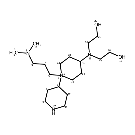 CN(C)CCC[N+]1(C2CCNCC2)CCC(N(CCO)CCO)CC1